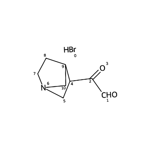 Br.O=CC(=O)C1CN2CCC1C2